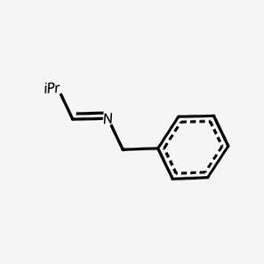 CC(C)C=NCc1ccccc1